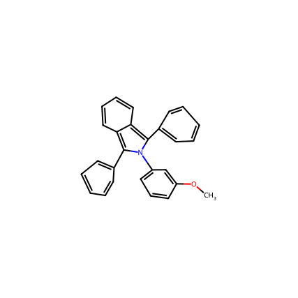 COc1cccc(-n2c(-c3ccccc3)c3ccccc3c2-c2ccccc2)c1